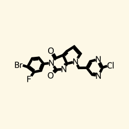 O=c1nc2n(Cc3cnc(Cl)nc3)cccc-2c(=O)n1-c1ccc(Br)c(F)c1